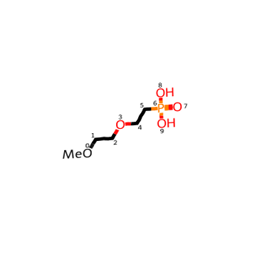 COCCOCCP(=O)(O)O